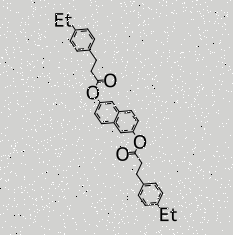 CCc1ccc(CCC(=O)Oc2ccc3cc(OC(=O)CCc4ccc(CC)cc4)ccc3c2)cc1